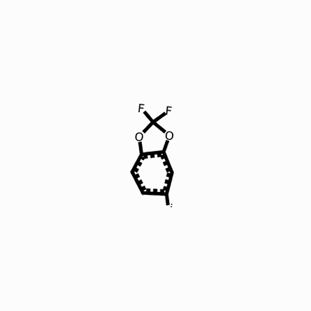 [CH]c1ccc2c(c1)OC(F)(F)O2